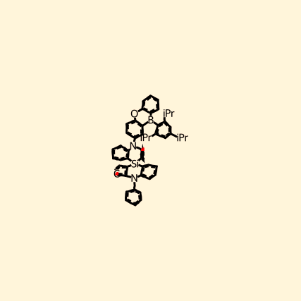 CC(C)c1cc(C(C)C)c(B2c3ccccc3Oc3ccc(N4c5ccccc5[Si]5(c6ccccc6N(c6ccccc6)c6ccccc65)c5ccccc54)cc32)c(C(C)C)c1